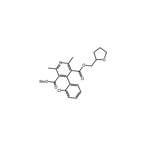 COC(=O)c1c(C)nc(C)c(C(=O)OCC2CCCO2)c1-c1ccccc1Cl